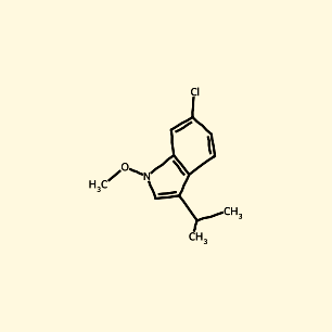 COn1cc(C(C)C)c2ccc(Cl)cc21